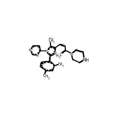 C=C(/C=C\c1nc(-c2ccc(C)cc2C)n(-c2ccncn2)c1C)N1CCNCC1